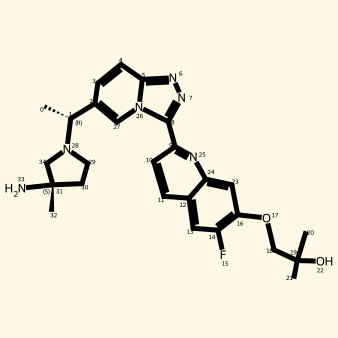 C[C@H](c1ccc2nnc(-c3ccc4cc(F)c(OCC(C)(C)O)cc4n3)n2c1)N1CC[C@](C)(N)C1